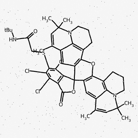 CC1=CC(C)(C)N2CCCc3c4c(cc1c32)C1(OC(=O)c2c(Cl)c(Cl)c(SCC(=O)NC(C)(C)C)c(Cl)c21)c1cc2c3c(c1O4)CCCN3C(C)(C)C=C2C